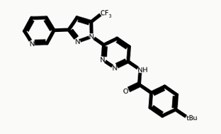 CC(C)(C)c1ccc(C(=O)Nc2ccc(-n3nc(-c4cccnc4)cc3C(F)(F)F)nn2)cc1